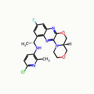 Cc1nc(Cl)ccc1N[C@H](C)c1cc(F)cc2nc3c(nc12)N1CCOC[C@H]1CO3